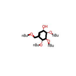 CCCCOCC1=C[C@H](O)[C@H](OCCCC)[C@@H](OCCCC)[C@@H]1OCCCC